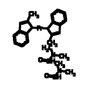 CC1=Cc2ccccc2[CH]1[Pr][CH]1C(C)=Cc2ccccc21.CN(C)[SiH]=O.CN(C)[SiH]=O